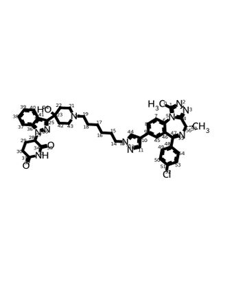 Cc1nnc2n1-c1ccc(-c3cnn(CCCCCCN4CCC(O)(c5nn(C6CCC(=O)NC6=O)c6ccccc56)CC4)c3)cc1C(c1ccc(Cl)cc1)=N[C@H]2C